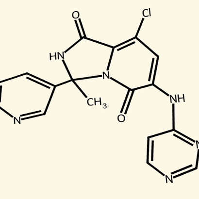 CC1(c2cccnc2)NC(=O)c2c(Cl)cc(Nc3ccncn3)c(=O)n21